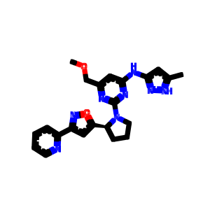 COCc1cc(Nc2cc(C)[nH]n2)nc(N2CCC[C@H]2c2cc(-c3ccccn3)no2)n1